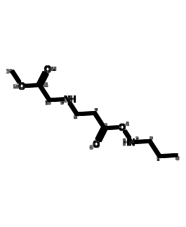 CCCNOC(=O)CCNCC(=O)OC